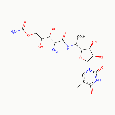 Cc1cn([C@@H]2O[C@H](C(NC(=O)C(N)C(O)C(O)COC(N)=O)C(=O)O)[C@@H](O)[C@H]2O)c(=O)[nH]c1=O